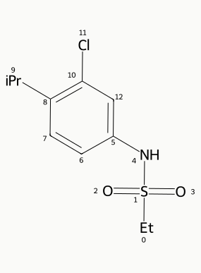 CCS(=O)(=O)Nc1ccc(C(C)C)c(Cl)c1